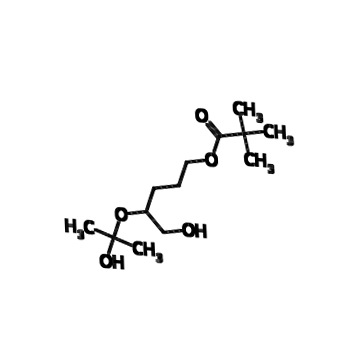 CC(C)(O)OC(CO)CCCOC(=O)C(C)(C)C